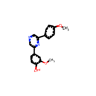 COc1ccc(-c2cncc(-c3ccc(O)c(OC)c3)n2)cc1